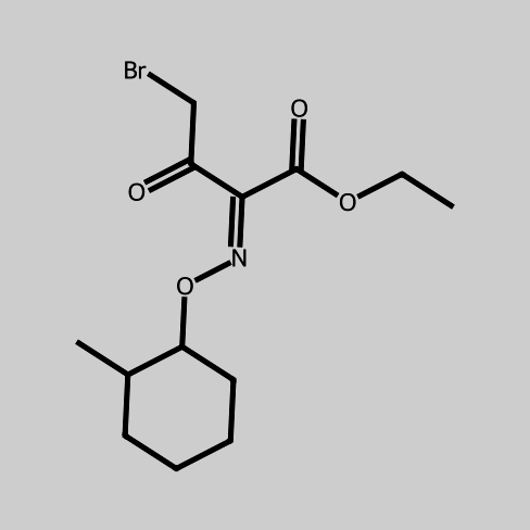 CCOC(=O)/C(=N/OC1CCCCC1C)C(=O)CBr